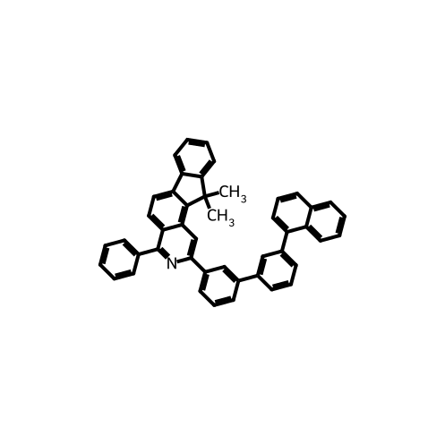 CC1(C)c2ccccc2-c2ccc3c(-c4ccccc4)nc(-c4cccc(-c5cccc(-c6cccc7ccccc67)c5)c4)cc3c21